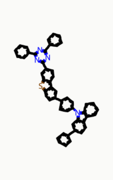 c1ccc(-c2ccc3c4ccccc4n(-c4ccc(-c5ccc6sc7cc(-c8nc(-c9ccccc9)nc(-c9ccccc9)n8)ccc7c6c5)cc4)c3c2)cc1